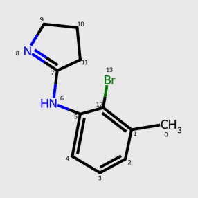 Cc1cccc(NC2=NCCC2)c1Br